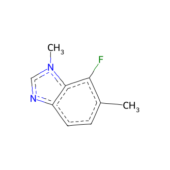 Cc1ccc2ncn(C)c2c1F